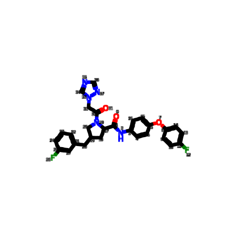 O=C(Nc1ccc(Oc2ccc(F)cc2)cc1)C1CC(Cc2cccc(F)c2)CN1C(=O)Cn1cncn1